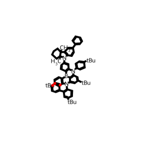 CC(C)(C)c1ccc(N2c3cc(N4c5ccc(-c6ccccc6)cc5C5(C)CCCCC45C)ccc3B3c4ccc(C(C)(C)C)cc4N(c4ccc(C(C)(C)C)cc4-c4ccccc4)c4cc(C(C)(C)C)cc2c43)cc1